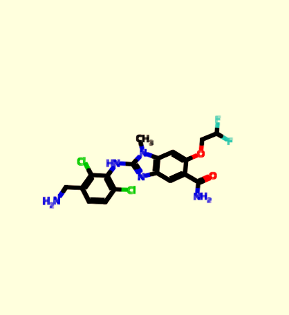 Cn1c(Nc2c(Cl)ccc(CN)c2Cl)nc2cc(C(N)=O)c(OCC(F)F)cc21